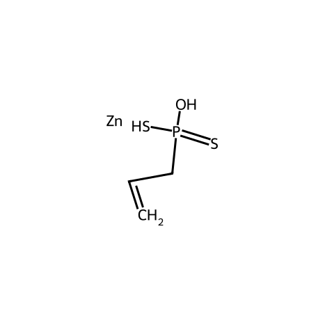 C=CCP(O)(=S)S.[Zn]